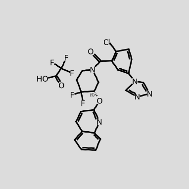 O=C(O)C(F)(F)F.O=C(c1cc(-n2cnnc2)ccc1Cl)N1CCC(F)(F)[C@@H](Oc2ccc3ccccc3n2)C1